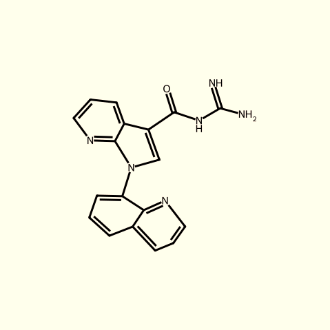 N=C(N)NC(=O)c1cn(-c2cccc3cccnc23)c2ncccc12